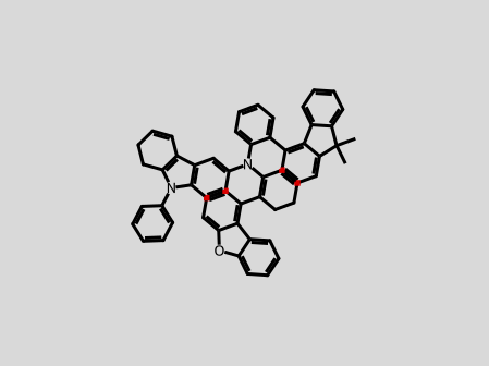 CC1(C)c2ccccc2-c2c(-c3ccccc3N(C3=C(c4cccc5oc6ccccc6c45)CCC=C3)c3ccc4c(c3)c3c(n4-c4ccccc4)CCC=C3)cccc21